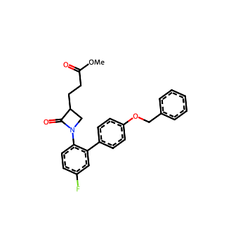 COC(=O)CCC1CN(c2ccc(F)cc2-c2ccc(OCc3ccccc3)cc2)C1=O